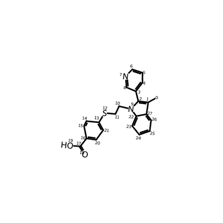 Cc1c(-c2cccnc2)n(CCSc2ccc(C(=O)O)cc2)c2ccccc12